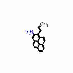 C=CCc1c(N)cc2ccc3cccc4ccc1c2c34